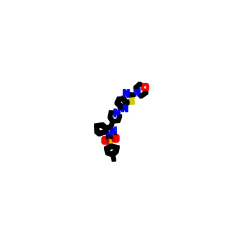 Cc1ccc(S(=O)(=O)n2nc(C3CCN(c4ccc5nc(N6CCOCC6)sc5n4)CC3)c3ccccc32)cc1